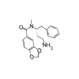 CN(C(=O)c1ccc2c(c1)OCO2)[C@@H](CCN)Cc1ccccc1